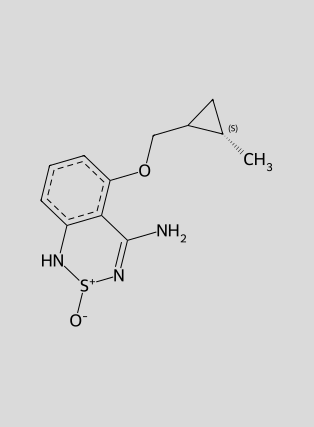 C[C@H]1CC1COc1cccc2c1C(N)=N[S+]([O-])N2